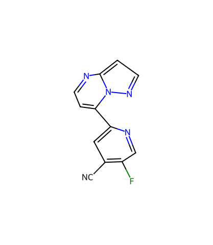 N#Cc1cc(-c2ccnc3ccnn23)ncc1F